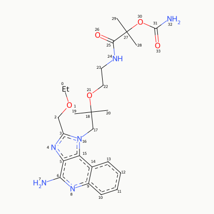 CCOCc1nc2c(N)nc3ccccc3c2n1CC(C)(C)OCCNC(=O)C(C)(C)OC(N)=O